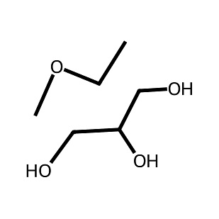 CCOC.OCC(O)CO